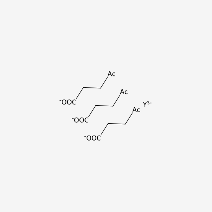 CC(=O)CCC(=O)[O-].CC(=O)CCC(=O)[O-].CC(=O)CCC(=O)[O-].[Y+3]